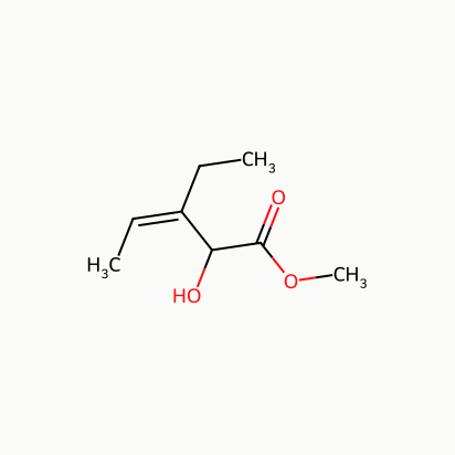 CC=C(CC)C(O)C(=O)OC